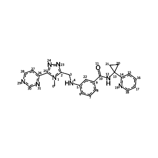 Cn1c(CNc2cccc(C(=O)NC3(c4ccccn4)CC3)c2)nnc1-c1ccncn1